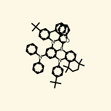 CC(C)(C)c1ccc(N2c3cc(N(c4ccccc4)c4ccccc4)cc4c3B(c3ccc5c(c32)C(C)(C)CCC5(C)C)c2oc3ccccc3c2N4c2ccc(C(C)(C)C)cc2-c2ccccc2)cc1